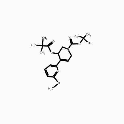 COc1cccc(C2=CCN(C(=O)OC(C)(C)C)CC2OC(=O)C(C)(C)C)n1